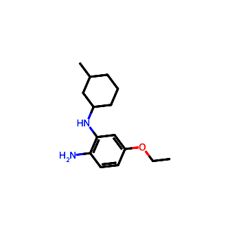 CCOc1ccc(N)c(NC2CCCC(C)C2)c1